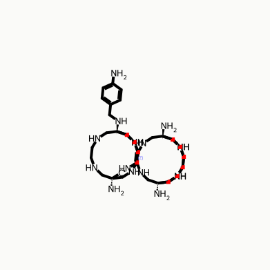 Nc1ccc(CN[C@]23CNCCNC[C@](N)(CNCCNC2)CN/C2=C(/NC[C@]4(N)CNCCNC[C@@](N)(CNCCNC4)CN2)NC3)cc1